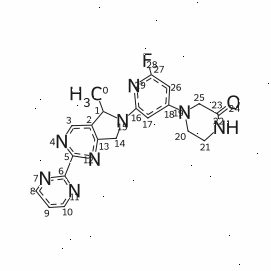 CC1c2cnc(-c3ncccn3)nc2CN1c1cc(N2CCNC(=O)C2)cc(F)n1